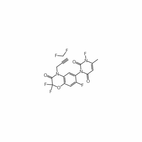 C#CCN1C(=O)C(F)(F)Oc2cc(F)c(-n3c(=O)cc(C)n(F)c3=O)cc21.FCF